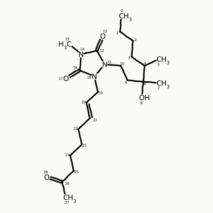 CCCCC(C)C(C)(O)CCn1c(=O)n(C)c(=O)n1CC=CCCCCC(C)=O